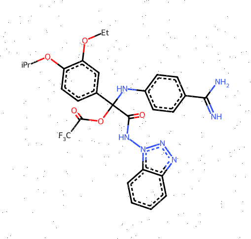 CCOc1cc(C(Nc2ccc(C(=N)N)cc2)(OC(=O)C(F)(F)F)C(=O)Nn2nnc3ccccc32)ccc1OC(C)C